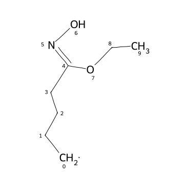 [CH2]CCCC(=NO)OCC